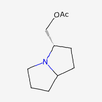 CC(=O)OC[C@@H]1CCC2CCCN21